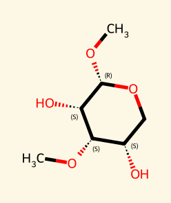 CO[C@@H]1OC[C@H](O)[C@H](OC)[C@@H]1O